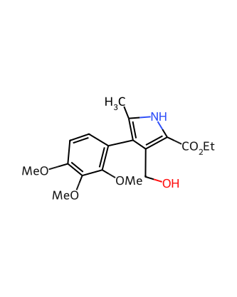 CCOC(=O)c1[nH]c(C)c(-c2ccc(OC)c(OC)c2OC)c1CO